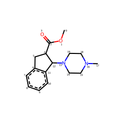 COC(=O)C1Cc2ccccc2C1N1CCN(C)CC1